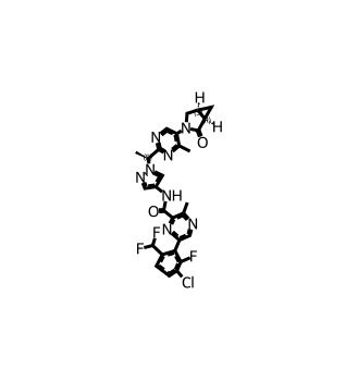 Cc1nc([C@H](C)n2cc(NC(=O)c3nc(-c4c(C(F)F)ccc(Cl)c4F)cnc3C)cn2)ncc1N1C[C@H]2C[C@H]2C1=O